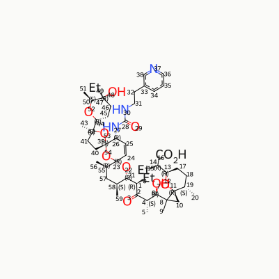 CC[C@@H](C(=O)[C@@H](C)[C@@H](O)C1(C)C[C@]12O[C@@H]([C@@H](CC)C(=O)O)CC[C@@H]2C)[C@H]1O[C@]2(C=C[C@@H](NC(=O)NCCc3cccnc3)[C@]3(CC[C@@](C)([C@H]4CC[C@](O)(CC)[C@H](C)O4)O3)O2)[C@H](C)C[C@@H]1C